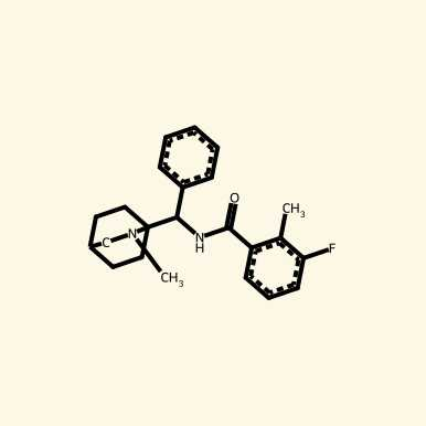 Cc1c(F)cccc1C(=O)NC(c1ccccc1)C12CCC(CC1)CN2C